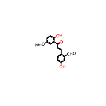 COc1ccc(O)c(C(=O)C=Cc2ccc(O)cc2C=O)c1